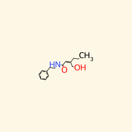 CCCC(=CC(=O)NCCc1ccccc1)CO